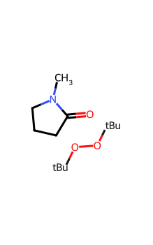 CC(C)(C)OOC(C)(C)C.CN1CCCC1=O